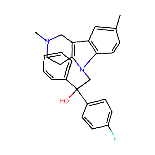 Cc1ccc2c(c1)c1c(n2CC(O)(c2ccccc2)c2ccc(F)cc2)CCN(C)C1